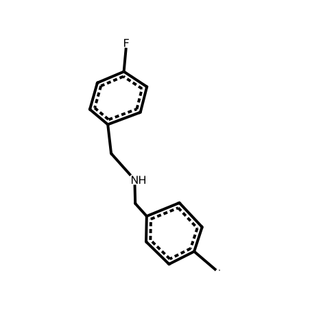 [CH2]c1ccc(CNCc2ccc(F)cc2)cc1